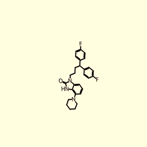 O=c1[nH]c2c(N3CCCCC3)cccc2n1CCCC(c1ccc(F)cc1)c1ccc(F)cc1